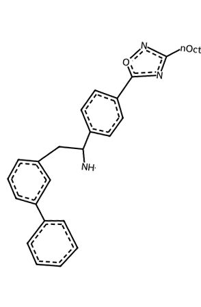 CCCCCCCCc1noc(-c2ccc(C([NH])Cc3cccc(-c4ccccc4)c3)cc2)n1